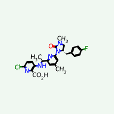 Cc1cc([C@@H](C)Nc2ccc(Cl)nc2C(=O)O)nc(N2C(=O)N(C)C[C@@H]2Cc2ccc(F)cc2)c1